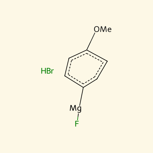 Br.COc1cc[c]([Mg][F])cc1